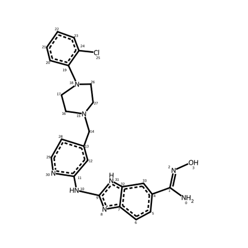 NC(=NO)c1ccc2nc(Nc3cc(CN4CCN(c5ccccc5Cl)CC4)ccn3)[nH]c2c1